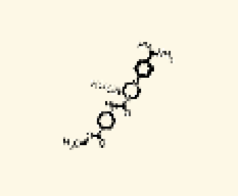 CCOC(=O)[C@H]1CC[C@H](NC(=O)N2CCN(c3ccc(C(=N)N)cc3)CC2)CC1.Cl.Cl